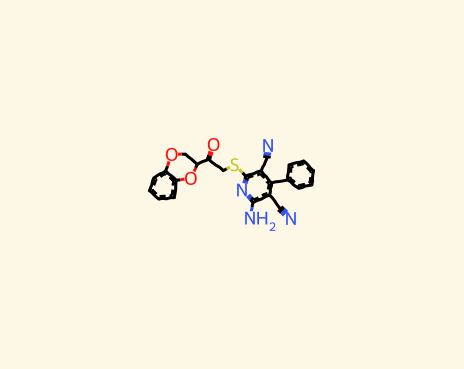 N#Cc1c(N)nc(SCC(=O)C2COc3ccccc3O2)c(C#N)c1-c1ccccc1